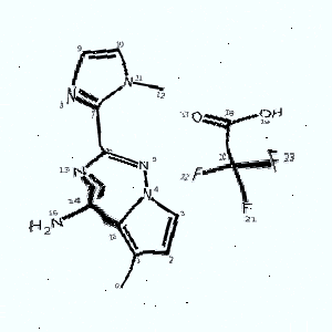 Cc1ccn2nc(-c3nccn3C)nc(N)c12.O=C(O)C(F)(F)F